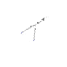 CCCCCCCC/C=C\CCCCCCCC(=O)OCC(COC(=O)CCCCCCC/C=C\CCCCCCCC)COC(=O)CCCN1CC(O)C1